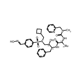 CC[C@H](C)[C@H](NC(=O)N(C)Cc1ccccn1)C(=O)N[C@@H](Cc1ccccc1)[C@H](O)CN(CC1CCC1)S(=O)(=O)c1ccc(C=NO)cc1